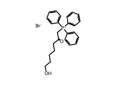 O=C(CCCCCO)C[P+](c1ccccc1)(c1ccccc1)c1ccccc1.[Br-]